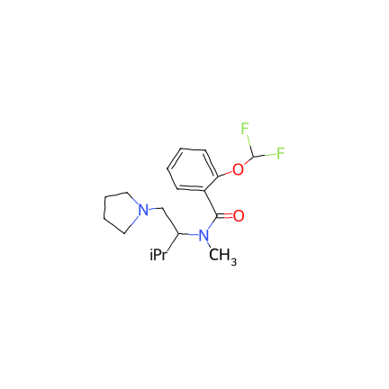 CC(C)C(CN1CCCC1)N(C)C(=O)c1ccccc1OC(F)F